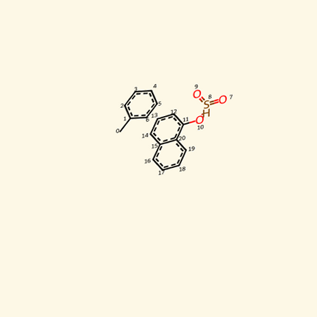 Cc1ccccc1.O=[SH](=O)Oc1cccc2ccccc12